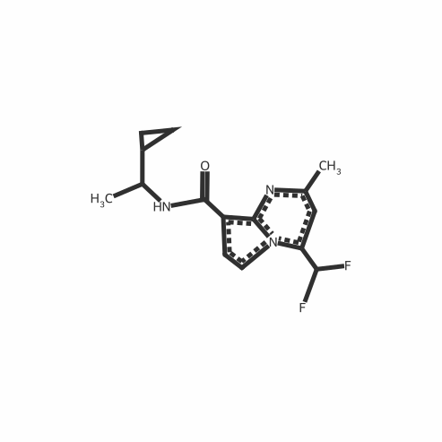 Cc1cc(C(F)F)n2ccc(C(=O)NC(C)C3CC3)c2n1